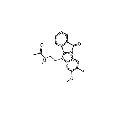 COc1cc2c(CCNC(C)=O)c3n(c2cc1I)C(=O)c1ccccc1-3